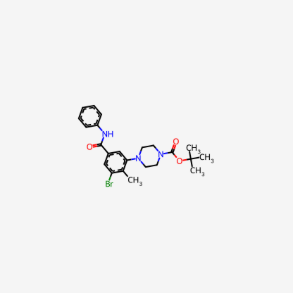 Cc1c(Br)cc(C(=O)Nc2ccccc2)cc1N1CCN(C(=O)OC(C)(C)C)CC1